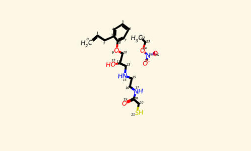 C=CCc1ccccc1OCC(O)CNCCNC(=O)CS.CCO[N+](=O)[O-]